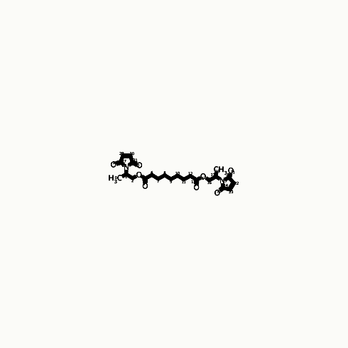 CC(COC(=O)CCCCCCCC(=O)OCC(C)N1C(=O)C=CC1=O)N1C(=O)C=CC1=O